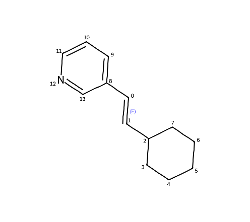 C(=C\C1CCCCC1)/c1cccnc1